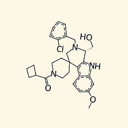 COc1ccc2c3c([nH]c2c1)[C@@H](CO)N(Cc1ccccc1Cl)CC31CCN(C(=O)C2CCC2)CC1